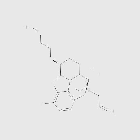 C=CCN1CC[C@]23c4c5ccc(O)c4OC2[C@@H](OCCOC)CC[C@@]3(O)[C@H]1C5